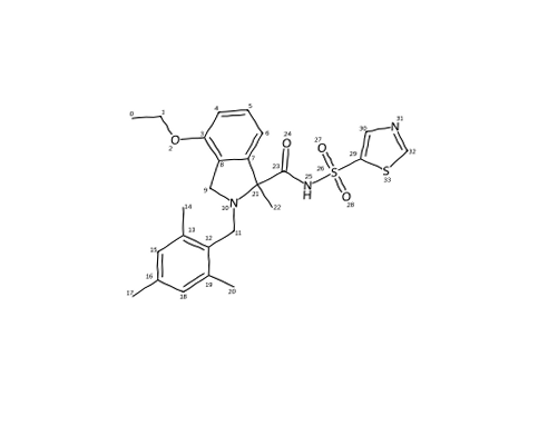 CCOc1cccc2c1CN(Cc1c(C)cc(C)cc1C)C2(C)C(=O)NS(=O)(=O)c1cncs1